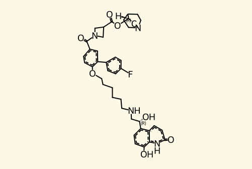 O=C(O[C@H]1CN2CCC1CC2)C1CN(C(=O)c2ccc(OCCCCCCNC[C@H](O)c3ccc(O)c4[nH]c(=O)ccc34)c(-c3ccc(F)cc3)c2)C1